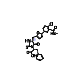 CNC(=O)c1cc(-c2ccc(/C=C3/NC(=S)N(C(Cc4ccccc4)C(=O)O)C3=O)o2)ccc1Cl